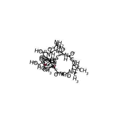 CC[C@H](C)[C@@H]1NC(=O)CNC(=O)C2Cc3c([nH]c4ccc(O)cc34)SCC(NC(=O)CNC1=O)C(=O)N[C@@H](CC(N)=O)C(=O)N1C[C@H](O)C[C@]1(C=O)N[C@@H]([C@@H](C)[C@@H](O)CO)C(=O)N2